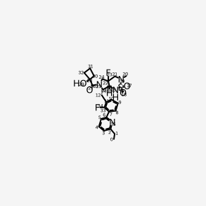 CCc1cccc(-c2cccc(C[C@H]3[C@H]4NS(=O)(=O)N(C)CC4(F)CN3C(=O)C3(O)CCC3)c2F)n1